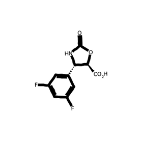 O=C1N[C@@H](c2cc(F)cc(F)c2)[C@H](C(=O)O)O1